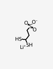 O=S(=O)([O-])CCC(S)S.[Li+]